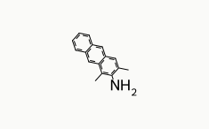 Cc1cc2cc3ccccc3cc2c(C)c1N